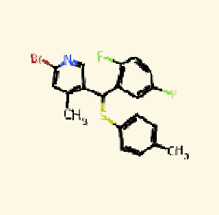 Cc1ccc(SC(c2cnc(Br)cc2C)c2cc(F)ccc2F)cc1